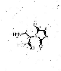 NCC(C(=O)O)N1C(=O)C=CC1=O